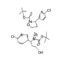 CC(C)(C)OC(=O)N(O)C(CCO)c1ccc(Cl)nc1.CC(C)(C)OC(=O)N1OCCC1c1ccc(Cl)nc1